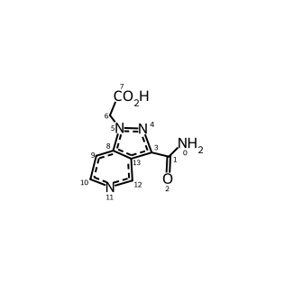 NC(=O)c1nn(CC(=O)O)c2ccncc12